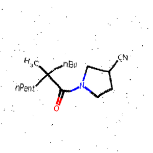 CCCCCC(C)(CCCC)C(=O)N1CCC(C#N)C1